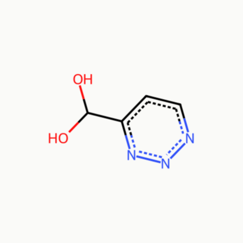 OC(O)c1ccnnn1